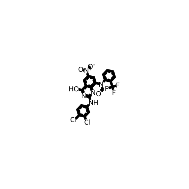 O=CN(c1ccccc1C(F)(F)F)c1cc([N+](=O)[O-])cc2c(O)nc(Nc3ccc(Cl)c(Cl)c3)nc12